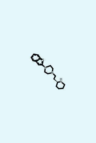 c1ccc2sc(N3CCN(CC[C@@H]4CCCCN4)CC3)cc2c1